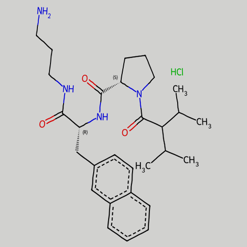 CC(C)C(C(=O)N1CCC[C@H]1C(=O)N[C@H](Cc1ccc2ccccc2c1)C(=O)NCCCN)C(C)C.Cl